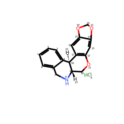 Cl.c1ccc2c(c1)CN[C@H]1COc3cc4c(cc3[C@H]21)OCO4